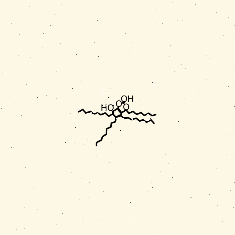 CCCCCCCCCc1c(O)c(OC(=O)O)c(CCCCCCCCC)c(CCCCCCCCC)c1CCCCCCCCC